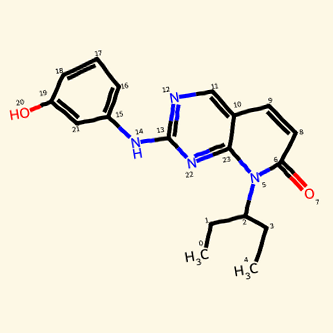 CCC(CC)n1c(=O)ccc2cnc(Nc3cccc(O)c3)nc21